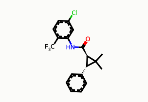 CC1(C)[C@H](C(=O)Nc2cc(Cl)ccc2C(F)(F)F)[C@H]1c1ccccc1